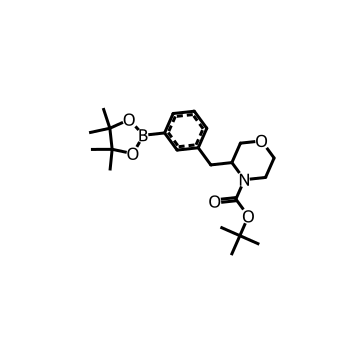 CC(C)(C)OC(=O)N1CCOCC1Cc1cccc(B2OC(C)(C)C(C)(C)O2)c1